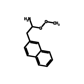 COOC(N)Cc1ccc2ccccc2c1